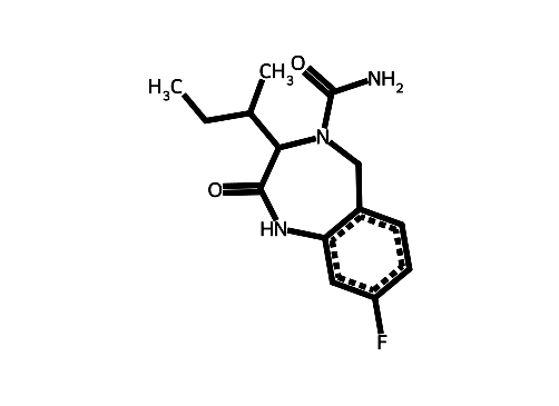 CCC(C)C1C(=O)Nc2cc(F)ccc2CN1C(N)=O